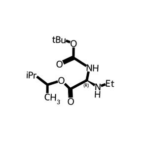 CCN[C@H](NC(=O)OC(C)(C)C)C(=O)OC(C)C(C)C